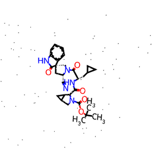 CC(C)(C)OC(=O)N1CC2CC2C1C(=O)N[C@@H](CC1CC1)C(=O)N1C[C@]2(C[C@H]1C#N)C(=O)Nc1ccccc12